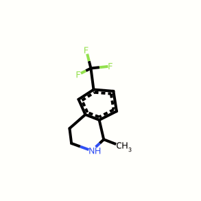 CC1NCCc2cc(C(F)(F)F)ccc21